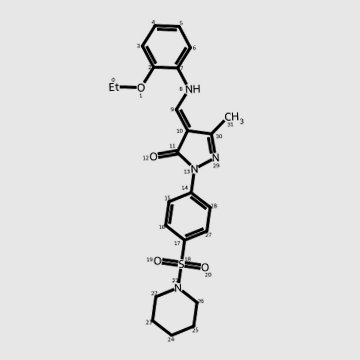 CCOc1ccccc1N/C=C1/C(=O)N(c2ccc(S(=O)(=O)N3CCCCC3)cc2)N=C1C